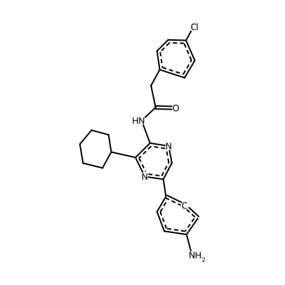 Nc1ccc(-c2cnc(NC(=O)Cc3ccc(Cl)cc3)c(C3CCCCC3)n2)cc1